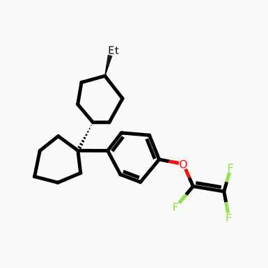 CC[C@H]1CC[C@H](C2(c3ccc(OC(F)=C(F)F)cc3)CCCCC2)CC1